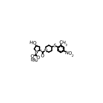 Cc1cc([N+](=O)[O-])ccc1SC1CCN(C(=O)[C@@H]2C[C@@H](O)CN2C(=O)OC(C)(C)C)CC1